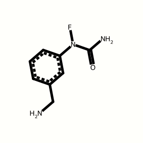 NCc1cccc(N(F)C(N)=O)c1